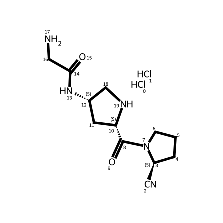 Cl.Cl.N#C[C@@H]1CCCN1C(=O)[C@@H]1C[C@H](NC(=O)CN)CN1